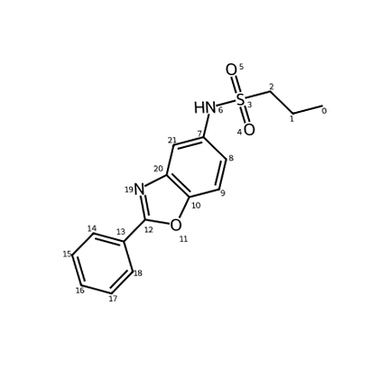 CCCS(=O)(=O)Nc1ccc2oc(-c3ccccc3)nc2c1